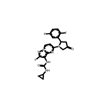 O=C1CC(c2cc(F)ccc2F)N(c2ccn3nc(F)c(NC(=O)NC4CC4)c3n2)C1